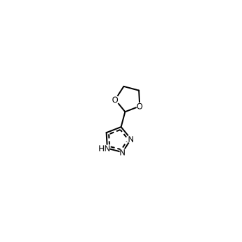 c1[nH]nnc1C1OCCO1